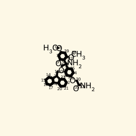 COc1ccc(C(N)(C(=O)OCC2c3ccccc3-c3ccccc32)c2ccc(OCC(N)=O)cc2)c(OC)c1